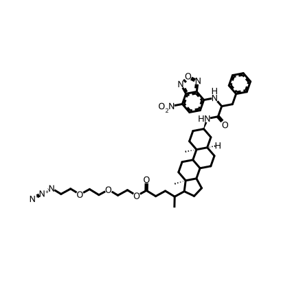 CC(CCC(=O)OCCOCCOCCN=[N+]=[N-])C1CCC2C3CC[C@@H]4C[C@H](NC(=O)C(Cc5ccccc5)Nc5ccc([N+](=O)[O-])c6nonc56)CC[C@]4(C)C3CC[C@]12C